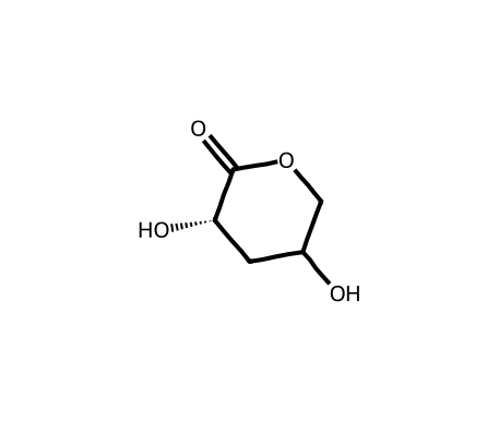 O=C1OCC(O)C[C@@H]1O